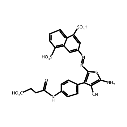 N#Cc1c(N)sc(N=Nc2cc(S(=O)(=O)O)c3cccc(S(=O)(=O)O)c3c2)c1-c1ccc(NC(=O)CCC(=O)O)cc1